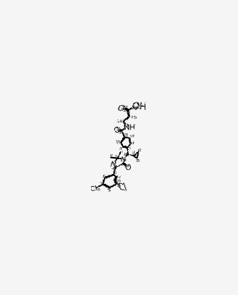 CC1(C)N=C(c2cc(Cl)cc(Cl)c2)C(=O)N1[C@@H](c1ccc(C(=O)NCCC(=O)O)cc1)C1CC1